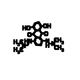 CN(C)CNc1ccc(NCN(C)C)c2c1C(=O)c1c(O)ccc(O)c1C2=O